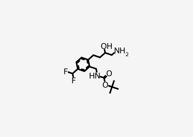 CC(C)(C)OC(=O)NCc1cc(C(F)F)ccc1CCC(O)CN